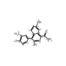 Cc1cc(-c2c(C(C)C)nc(C(N)=O)c3cc(O)ccc23)ccc1F